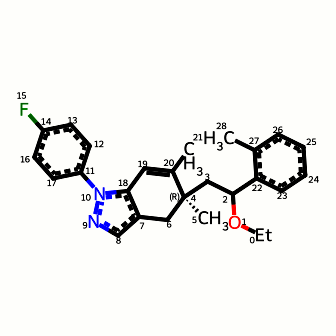 CCOC(C[C@@]1(C)Cc2cnn(-c3ccc(F)cc3)c2C=C1C)c1ccccc1C